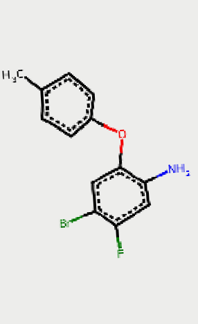 Cc1ccc(Oc2cc(Br)c(F)cc2N)cc1